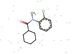 CN(C(=O)C1CCCCC1)c1ccccc1Cl